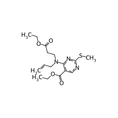 C=CCN(CCC(=O)OCC)c1nc(SC)ncc1C(=O)OCC